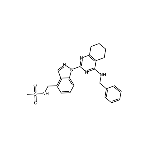 CS(=O)(=O)NCc1cccc2c1cnn2-c1nc2c(c(NCc3ccccc3)n1)CCCC2